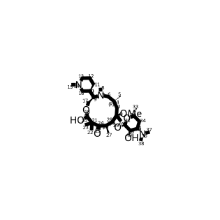 CO[C@]1(C)C[C@@H](C)CN(C)[C@H]([C@@H]2CCCN(C)C2)COC(O)C(C)(C)C(=O)[C@H](C)[C@H]1O[C@@H]1O[C@H](C)C[C@H](N(C)C)[C@H]1O